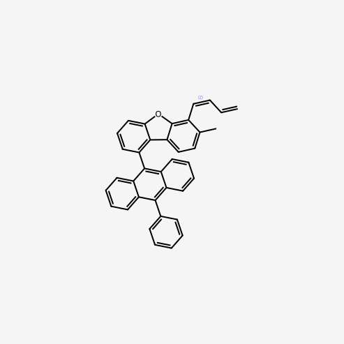 C=C/C=C\c1c(C)ccc2c1oc1cccc(-c3c4ccccc4c(-c4ccccc4)c4ccccc34)c12